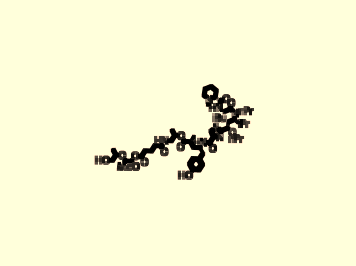 CCCO[C@H](C[C@H](C(C)C)N(CCC)C(=O)[C@@H](NC(=O)[C@H]1CCCCN1C)[C@@H](C)CC)c1nc(C(=O)N[C@@H](Cc2ccc(O)cc2)C[C@H](C)C(=O)OC(C)CNC(=O)CCCC(=O)OCC(OC)OC(C)CO)cs1